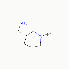 CC(C)N1CCC[C@H](CN)C1